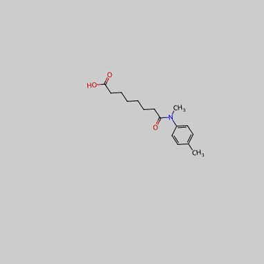 Cc1ccc(N(C)C(=O)CCCCCCC(=O)O)cc1